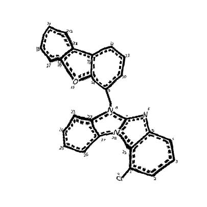 Clc1cccc2nc3n(-c4cccc5c4oc4ccccc45)c4ccccc4n3c12